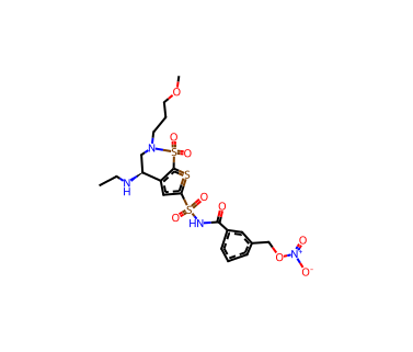 CCN[C@H]1CN(CCCOC)S(=O)(=O)c2sc(S(=O)(=O)NC(=O)c3cccc(CO[N+](=O)[O-])c3)cc21